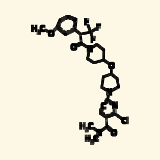 COc1cccc(C(C(=O)N2CCC(OC3CCN(c4ccc(C(=O)N(C)C)c(Cl)n4)CC3)CC2)C(F)(F)F)c1